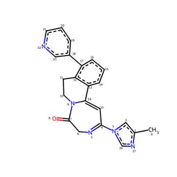 Cc1cn(C2=NCC(=O)N3CCc4c(cccc4-c4cccnc4)C3=C2)cn1